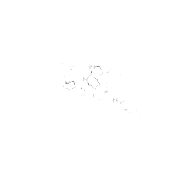 C=CC(=O)N1CC[C@H](F)[C@H](Oc2nc(Nc3cnn(CC(F)F)c3)nc3[nH]cc(C)c23)C1